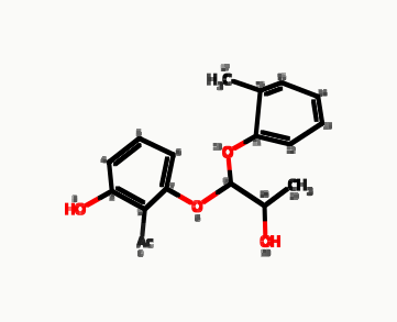 CC(=O)c1c(O)cccc1OC(Oc1ccccc1C)C(C)O